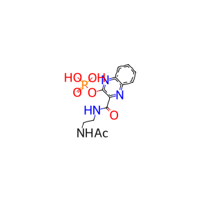 CC(=O)NCCNC(=O)c1nc2ccccc2nc1OP(=O)(O)O